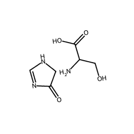 NC(CO)C(=O)O.O=C1CNC=N1